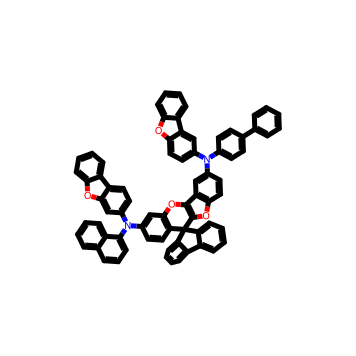 c1ccc(-c2ccc(N(c3ccc4oc5c(c4c3)Oc3cc(N(c4ccc6c(c4)oc4ccccc46)c4cccc6ccccc46)ccc3C53c4ccccc4-c4ccccc43)c3ccc4oc5ccccc5c4c3)cc2)cc1